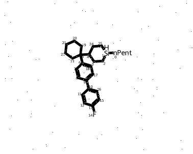 CCCCC[SiH]1CCC(C2(c3ccc(-c4ccc(F)cc4)cc3)CCCCC2)CC1